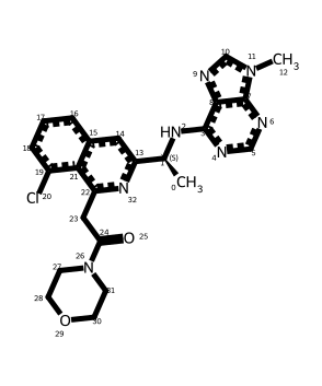 C[C@H](Nc1ncnc2c1ncn2C)c1cc2cccc(Cl)c2c(CC(=O)N2CCOCC2)n1